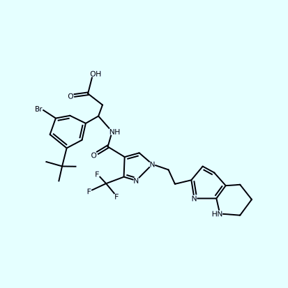 CC(C)(C)c1cc(Br)cc(C(CC(=O)O)NC(=O)c2cn(CCc3ccc4c(n3)NCCC4)nc2C(F)(F)F)c1